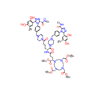 CCNC(=O)c1nnc(-c2cc(C(C)C)c(O)cc2O)n1-c1ccc(CN2CCN(C(=O)CCC[C@H](NC(=O)CC[C@H](C(=O)OC(C)(C)C)N3CCN(CC(=O)OC(C)(C)C)CCN(CC(=O)OC(C)(C)C)CCN(CC(=O)OC(C)(C)C)CC3)C(=O)N3CCN(Cc4ccc(-n5c(C(=O)NCC)nnc5-c5cc(C(C)C)c(O)cc5O)cc4)CC3)CC2)cc1